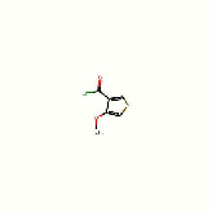 COc1cscc1C(=O)Cl